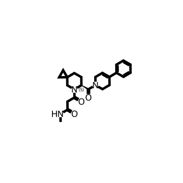 CNC(=O)CC(=O)N1CC2(CC[C@H]1C(=O)N1CC=C(c3ccccc3)CC1)CC2